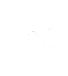 C[C@H]1CN(C(=O)O)C[C@@H](CN2C(=O)c3ccccc3C2=O)C1(F)F